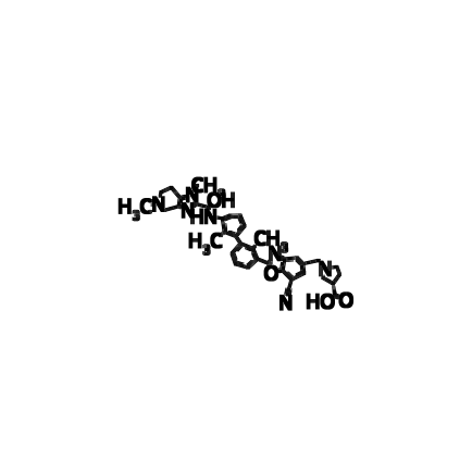 Cc1c(NC(O)c2nc3c(n2C)CCN(C)C3)cccc1-c1cccc(-c2nc3cc(CN4CC[C@@H](C(=O)O)C4)cc(C#N)c3o2)c1C